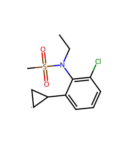 CCN(c1c(Cl)cccc1C1[CH]C1)S(C)(=O)=O